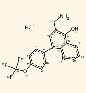 Cl.NCc1cc(-c2ccc(OC(F)(F)F)cc2)c2nccnc2c1O